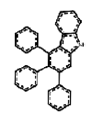 [c]1c(-c2ccccc2)c(-c2ccccc2)c(-c2ccccc2)c2c1[nH]c1ccccc12